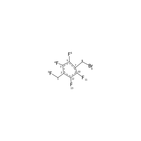 FCc1c(F)c(F)c(CBr)c(F)c1F